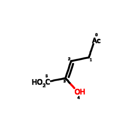 CC(=O)CC=C(O)C(=O)O